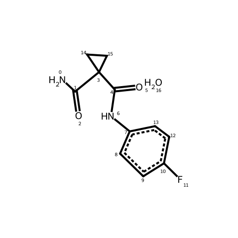 NC(=O)C1(C(=O)Nc2ccc(F)cc2)CC1.O